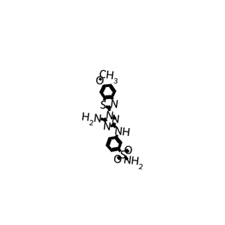 COc1ccc2nc(-n3nc(Nc4cccc(S(N)(=O)=O)c4)nc3N)sc2c1